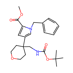 COC(=O)c1cc(C2(CNC(=O)OC(C)(C)C)CCOCC2)cn1Cc1ccccc1